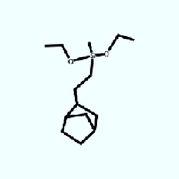 CCO[Si](C)(CCC1CC2CCC1C2)OCC